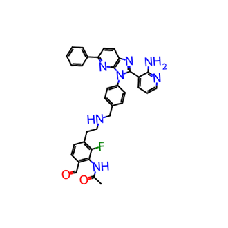 CC(=O)Nc1c(C=O)ccc(CCNCc2ccc(-n3c(-c4cccnc4N)nc4ccc(-c5ccccc5)nc43)cc2)c1F